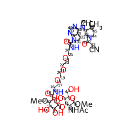 CO[C@@H]1OC(CO)[C@@H](O)[C@H](O[C@@H]2OC(C(=O)NCCOCCOCCOCCNC(=O)n3ccc4c(N(C)[C@H]5CN(C(=O)CC#N)CC[C@H]5C)ncnc43)[C@@H](OC)[C@H](O)C2O)C1NC(C)=O